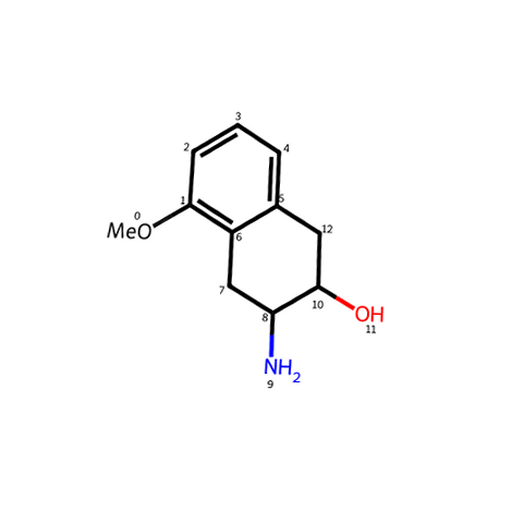 COc1cccc2c1CC(N)C(O)C2